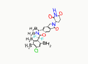 Bc1cc(Cl)c(B)c(B)c1C(F)(F)C(=O)N(B)C(B)c1ccc2c(c1)CN(C1CCC(=O)NC1=O)C2=O